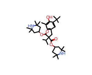 Cc1cc(CC(C(=O)OC2CC(C)(C)NC(C)(C)C2)(C(=O)OC2CC(C)(C)NC(C)(C)C2)C(C)C)cc(C(C)(C)C)c1O